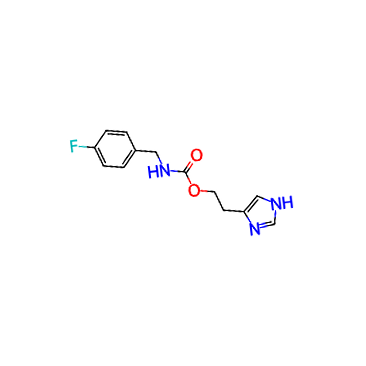 O=C(NCc1ccc(F)cc1)OCCc1c[nH]cn1